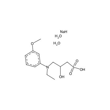 CCN(CC(O)CS(=O)(=O)O)c1cccc(OC)c1.O.O.[NaH]